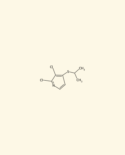 CC(C)Sc1ccnc(Cl)c1Cl